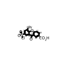 CC(C)c1cc(S(=O)(=O)Cl)cc2c(=O)c3cc(C(=O)O)ccc3oc12